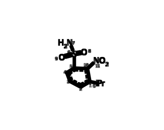 CC(C)c1cccc(S(N)(=O)=O)c1[N+](=O)[O-]